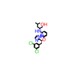 CC(C)CC(CO)Nc1cccc(O[C@@H](Cc2cc(Cl)cc(Cl)c2)c2ncc[nH]2)n1